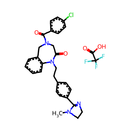 CN1CCN=C1c1ccc(CCN2C(=O)CN(C(=O)c3ccc(Cl)cc3)Cc3ccccc32)cc1.O=C(O)C(F)(F)F